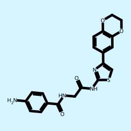 Nc1ccc(C(=O)NCC(=O)Nc2nc(-c3ccc4c(c3)OCCO4)cs2)cc1